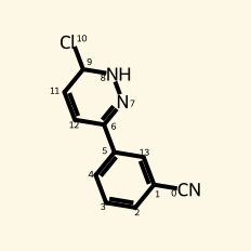 N#Cc1cccc(C2=NNC(Cl)C=C2)c1